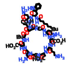 CCC(C)CCCCCCC(=O)NC(Cc1c[nH]c2ccccc12)C(=O)NC(CC(N)=O)C(=O)NC(CC(=O)O)C(=O)NC1C(=O)N(C)CC(=O)NC(CCCN)C(=O)NC(CC(=O)O)C(=O)NC(CCCCN)C(=O)NC(CC(=O)O)C(=O)NCC(=O)NC(CC(N)=O)C(=O)NC(CCC(=O)O)C(=O)NC(C(C)CC)C(=O)OC1C